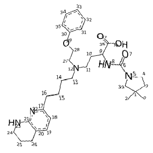 CC1(C)CCN(C(=O)NC(CCN(CCCCc2ccc3c(n2)NCCC3)CCOc2ccccc2)C(=O)O)C1